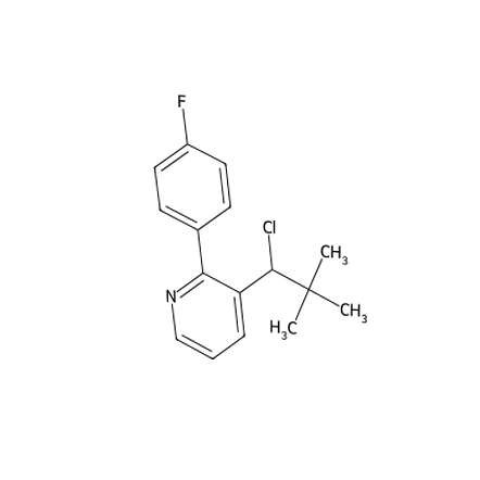 CC(C)(C)C(Cl)c1cccnc1-c1ccc(F)cc1